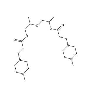 CC(COC(=O)CCN1CCN(C)CC1)OCC(C)OC(=O)CCN1CCN(C)CC1